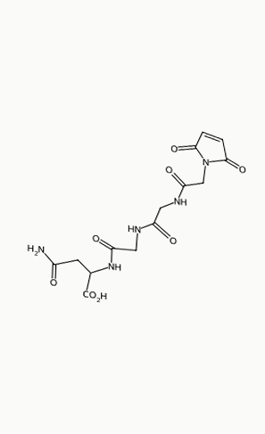 NC(=O)CC(NC(=O)CNC(=O)CNC(=O)CN1C(=O)C=CC1=O)C(=O)O